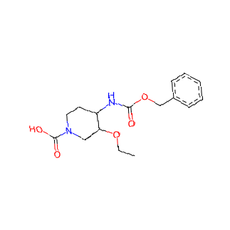 CCOC1CN(C(=O)O)CCC1NC(=O)OCc1ccccc1